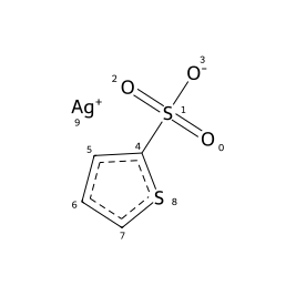 O=S(=O)([O-])c1cccs1.[Ag+]